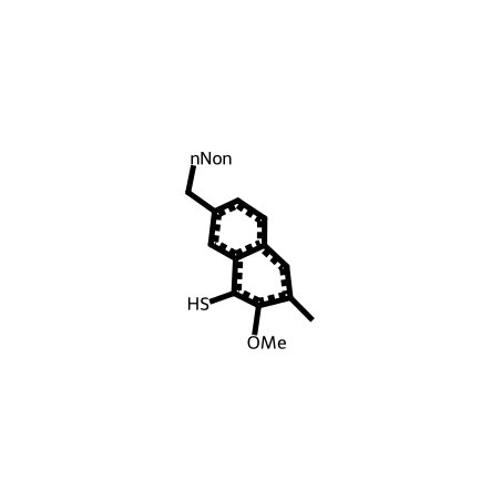 CCCCCCCCCCc1ccc2cc(C)c(OC)c(S)c2c1